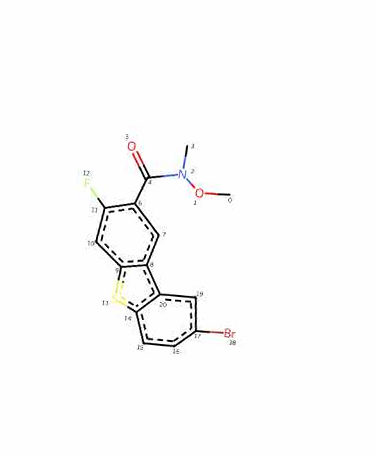 CON(C)C(=O)c1cc2c(cc1F)sc1ccc(Br)cc12